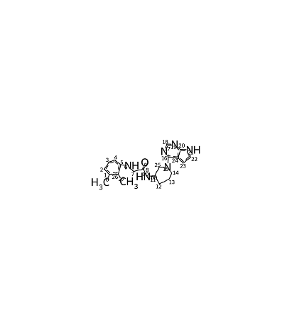 Cc1cccc(NCC(=O)N[C@@H]2CCCN(c3ncnc4[nH]ccc34)C2)c1C